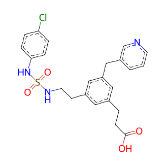 O=C(O)CCc1cc(CCNS(=O)(=O)Nc2ccc(Cl)cc2)cc(Cc2cccnc2)c1